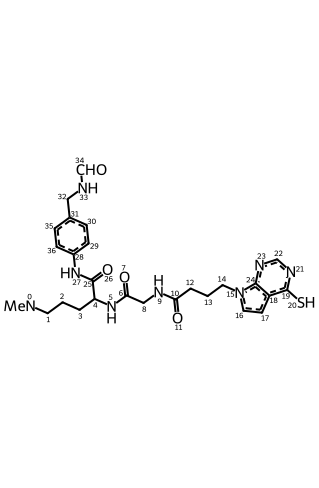 CNCCCC(NC(=O)CNC(=O)CCCn1ccc2c(S)ncnc21)C(=O)Nc1ccc(CNC=O)cc1